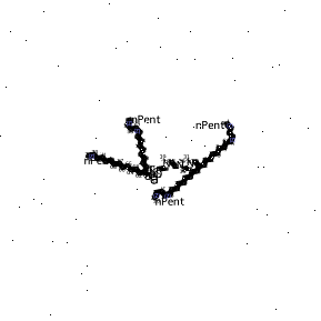 CCCCC/C=C\C/C=C\CCCCCCCCC(CCCCCCCC/C=C\C/C=C\CCCCC)CN(C)CCN(C)CCN(C)CCOP(=O)(CC)OC(CCCCCCCC/C=C\C/C=C\CCCCC)CCCCCCCCCCC/C=C\CCCCC